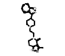 C=C1c2c(C)n[nH]c2CCN1CCN1CCC(c2noc3ccccc23)CC1